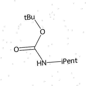 CCCC(C)NC(=O)OC(C)(C)C